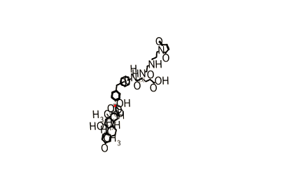 C[C@]12C=CC(=O)C=C1CC[C@@H]1[C@@H]2[C@@H](O)C[C@@]2(C)[C@H]1C[C@H]1O[C@@H](c3ccc(CC45CCC(NC(=O)[C@H](CCC(=O)O)NC(=O)CNCCCN6C(=O)C=CC6=O)(CC4)CO5)cc3)O[C@]12C(=O)CO